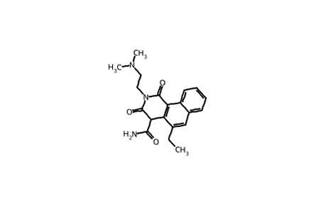 CCc1cc2ccccc2c2c1C(C(N)=O)C(=O)N(CCN(C)C)C2=O